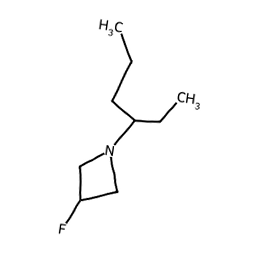 CCCC(CC)N1CC(F)C1